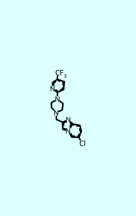 FC(F)(F)c1ccc(N2CCN(Cc3cn4cc(Cl)ccc4n3)CC2)nc1